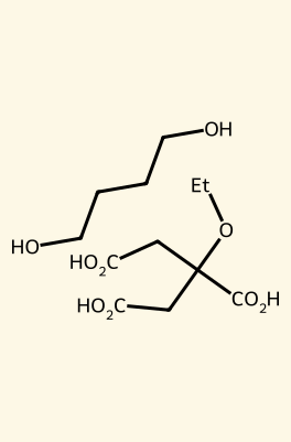 CCOC(CC(=O)O)(CC(=O)O)C(=O)O.OCCCCO